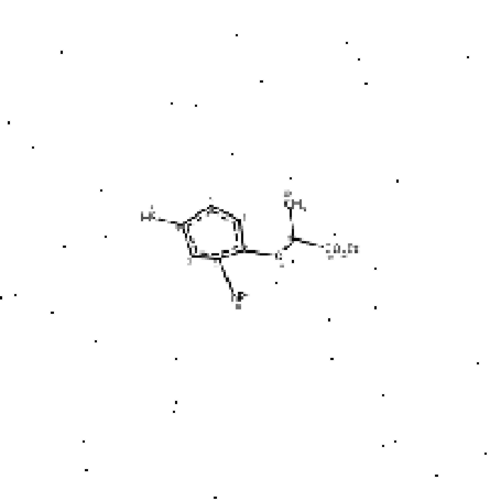 CCCc1cc(S)ccc1OC(C)C(=O)OCC